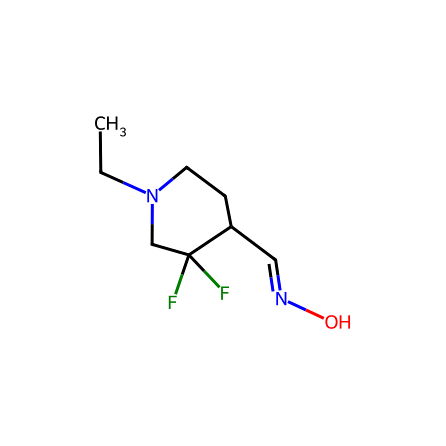 CCN1CCC(C=NO)C(F)(F)C1